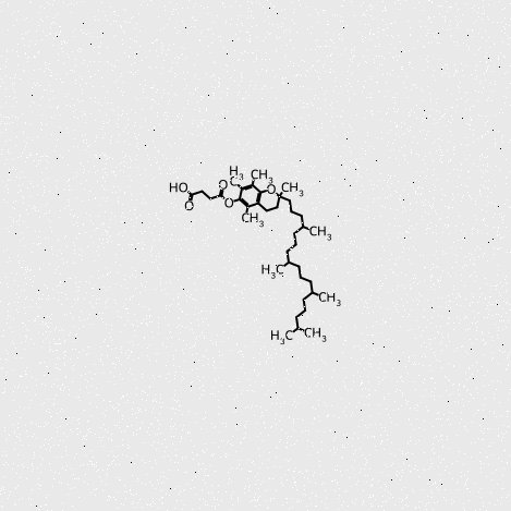 Cc1c(C)c2c(c(C)c1OC(=O)CCC(=O)O)CCC(C)(CCCC(C)CCCC(C)CCCC(C)CCCC(C)C)O2